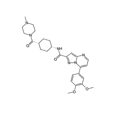 COc1ccc(-c2ccnc3cc(C(=O)N[C@H]4CC[C@@H](C(=O)N5CCN(C)CC5)CC4)nn23)cc1OC